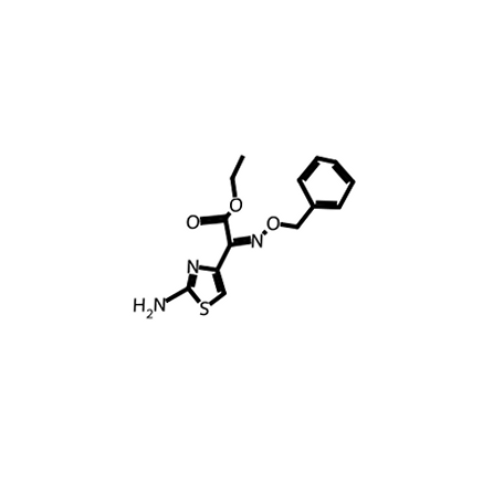 CCOC(=O)C(=NOCc1ccccc1)c1csc(N)n1